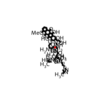 COc1cccc2c1C(=O)c1c(O)c3c(c(O)c1C2=O)C[C@@](O)(C(CO)=NNC(=O)CNC(=O)C(C)(C)C(C)(C(=O)NCC(C)O)C(C)(C)C(=O)NCCCn1cc(C)nn1)C[C@@H]3O[C@H]1C[C@H](N)[C@@H](O)[C@H](C)O1